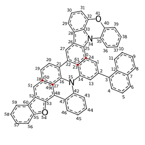 c1cc(-c2cccc3ccccc23)cc(N(c2ccccc2-c2ccc3c(c2)c2cccc4c2n3-c2ccccc2O4)c2ccccc2-c2cccc3c2oc2ccccc23)c1